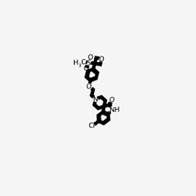 CS(=O)(=O)C1(c2ccc(OCCN3CCC4(CC3)C(=O)Nc3ccc(Cl)cc34)cc2)COC1